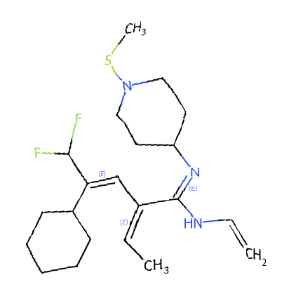 C=CNC(=N/C1CCN(SC)CC1)/C(=C\C)/C=C(/C(F)F)C1CCCCC1